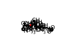 CCC(C)C(C(CC(=O)N1CCC[C@H]1C(OC)C(C)C(=O)NC(Cc1ccccc1)C(=O)O)OC)N(C)C(=O)C(NC(=O)C(C)(C)N(C)C(=O)CCCCCN1C(=O)C=CC1=O)C(C)C